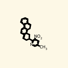 Cc1cnc(C2CC=c3ccc4c(c3C2)CC=c2ccccc2=4)c([N+](=O)[O-])c1